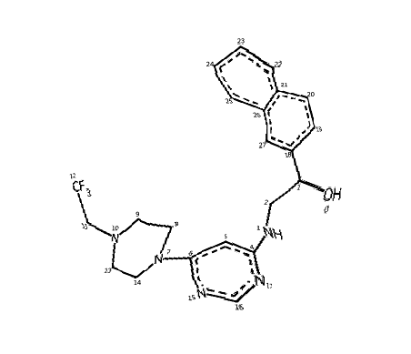 OC(CNc1cc(N2CCN(CC(F)(F)F)CC2)ncn1)c1ccc2ccccc2c1